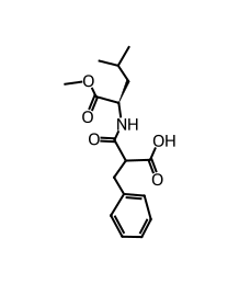 COC(=O)[C@@H](CC(C)C)NC(=O)C(Cc1ccccc1)C(=O)O